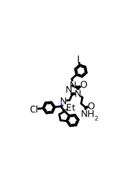 CC[C@@]1(/C(=N\Cc2nn(Cc3cccc(I)c3)c(=O)n2CCC(N)=O)c2ccc(Cl)cc2)CCc2ccccc21